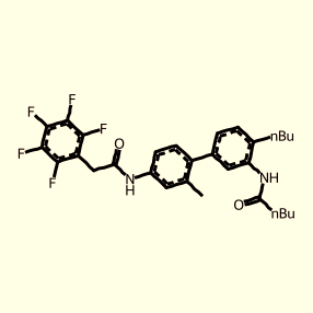 CCCCC(=O)Nc1cc(-c2ccc(NC(=O)Cc3c(F)c(F)c(F)c(F)c3F)cc2C)ccc1CCCC